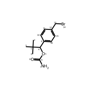 CC(C)(C)C(OC(N)=O)c1ccc(CBr)cc1